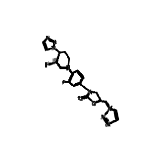 O=C1OC(Cn2ccnn2)CN1c1ccc(N2CCC(n3ccnn3)[C@H](F)C2)c(F)c1